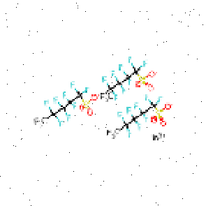 O=S(=O)([O-])C(F)(F)C(F)(F)C(F)(F)C(F)(F)C(F)(F)F.O=S(=O)([O-])C(F)(F)C(F)(F)C(F)(F)C(F)(F)C(F)(F)F.O=S(=O)([O-])C(F)(F)C(F)(F)C(F)(F)C(F)(F)C(F)(F)F.[In+3]